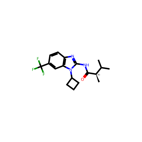 CC(C)[C@@H](C)C(=O)Nc1nc2ccc(C(F)(F)F)cc2n1C1CCC1